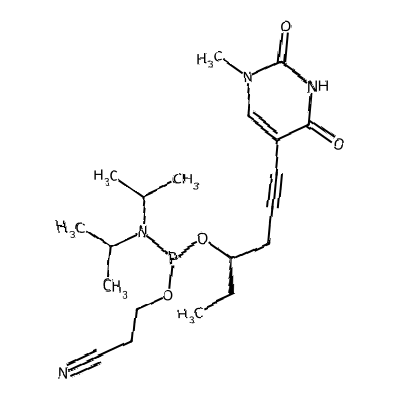 CC[C@H](CC#Cc1cn(C)c(=O)[nH]c1=O)OP(OCCC#N)N(C(C)C)C(C)C